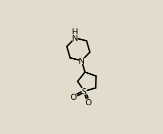 O=S1(=O)CCC(N2CCNCC2)C1